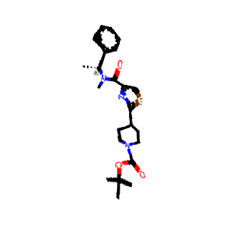 C[C@H](c1ccccc1)N(C)C(=O)c1csc(C2CCN(C(=O)OC(C)(C)C)CC2)n1